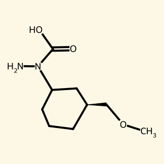 COC[C@H]1CCCC(N(N)C(=O)O)C1